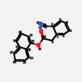 N#Cc1ccccc1CC(=O)Oc1cccc2ccccc12